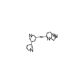 C(#Cc1ccn2nccc2n1)c1cncc(-c2cccnc2)c1